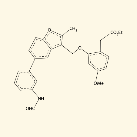 CCOC(=O)Cc1ccc(OC)cc1OCc1c(C)oc2ccc(-c3cccc(NC=O)c3)cc12